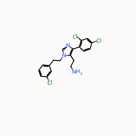 NCCc1c(-c2ccc(Cl)cc2Cl)ncn1CCc1cccc(Cl)c1